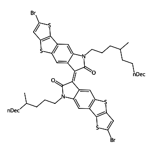 CCCCCCCCCCCCC(C)CCCN1C(=O)/C(=C2/C(=O)N(CCCC(C)CCCCCCCCCC)c3cc4c(cc32)sc2cc(Br)sc24)c2cc3sc4cc(Br)sc4c3cc21